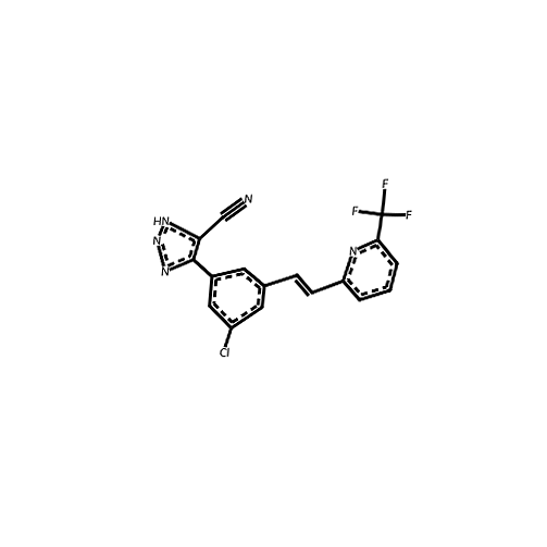 N#Cc1[nH]nnc1-c1cc(Cl)cc(/C=C/c2cccc(C(F)(F)F)n2)c1